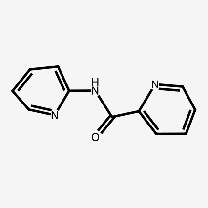 O=C(Nc1ccccn1)c1ccccn1